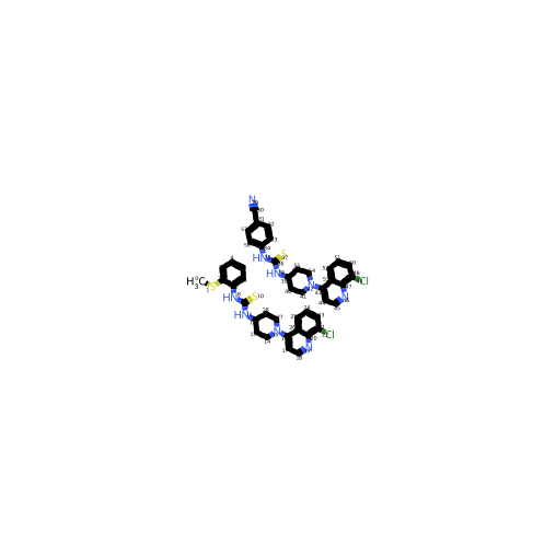 CSc1ccccc1NC(=S)NC1CCN(c2ccnc3c(Cl)cccc23)CC1.N#Cc1ccc(NC(=S)NC2CCN(c3ccnc4c(Cl)cccc34)CC2)cc1